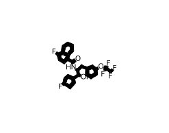 O=C(NC(Cc1cccc(OC(F)(F)C(F)F)c1)C(O)c1ccc(F)cc1)c1ccc(F)c2ccccc12